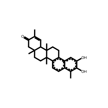 CC1=CC2C(C)(CCC3(C)c4ccc5c(C)c(O)c(O)cc5c4CCC23C)CC1=O